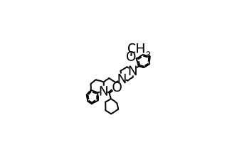 COc1ccccc1N1CCN(CCC2CCc3ccccc3N2C(=O)C2CCCCC2)CC1